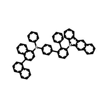 c1ccc(-c2c(-c3ccc(N(c4ccccc4)c4ccc(-c5cccc6ccccc56)c5ccccc45)cc3)cccc2-n2c3ccccc3c3cc4ccccc4cc32)cc1